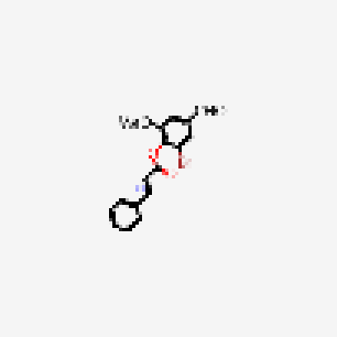 COc1cc(C=O)cc(Br)c1OC(=O)/C=C/c1ccccc1